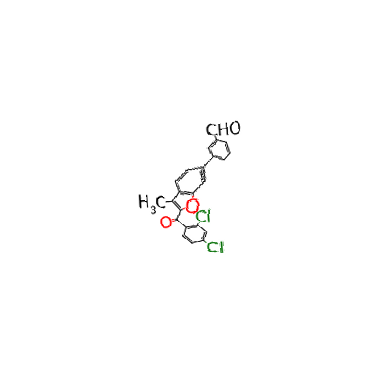 Cc1c(C(=O)c2ccc(Cl)cc2Cl)oc2cc(-c3cccc(C=O)c3)ccc12